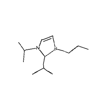 CCCN1C=CN(C(C)C)C1C(C)C